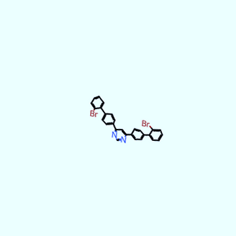 Brc1ccccc1-c1ccc(-c2cc(-c3ccc(-c4ccccc4Br)cc3)ncn2)cc1